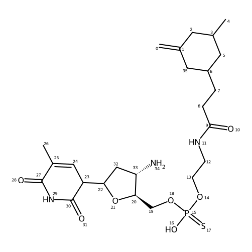 C=C1CC(C)CC(CCC(=O)NCCOP(O)(=S)OC[C@H]2OC(C3C=C(C)C(=O)NC3=O)C[C@@H]2N)C1